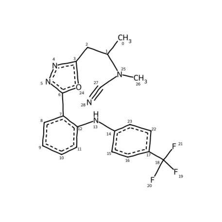 CC(Cc1nnc(-c2ccccc2Nc2ccc(C(F)(F)F)cc2)o1)N(C)C#N